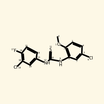 COc1ccc(Cl)cc1NC(=S)Nc1ccc(F)c(Cl)c1